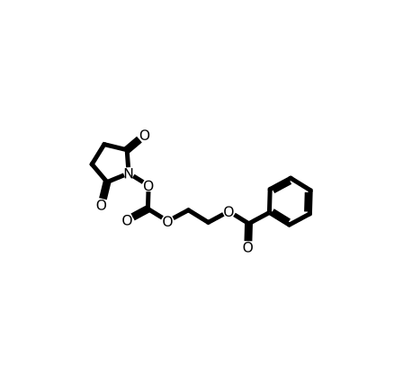 O=C(OCCOC(=O)c1ccccc1)ON1C(=O)CCC1=O